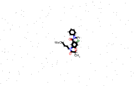 COCCCCN1C(=O)[C@@H](C)Oc2cc(Br)c(C(=O)N(C(C)C)C3CCCCC3)cc21